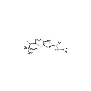 CC(C)S(=O)(=O)N(C)c1ccc2[nH]c(C(=O)NC3CC3)cc2c1